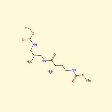 CC(CNC(=O)OC(C)(C)C)CNC(=O)[C@@H](N)CCNC(=O)OC(C)(C)C